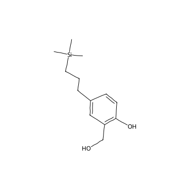 C[Si](C)(C)CCCc1ccc(O)c(CO)c1